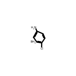 B.Nc1ccc(Cl)cc1